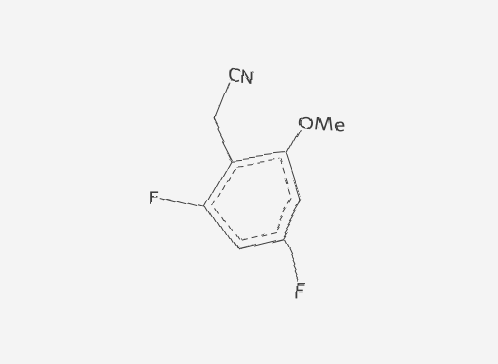 COc1cc(F)cc(F)c1CC#N